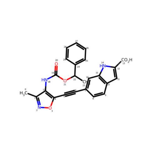 Cc1noc(C#Cc2ccc3cc(C(=O)O)[nH]c3c2)c1NC(=O)OC(C)c1ccccc1